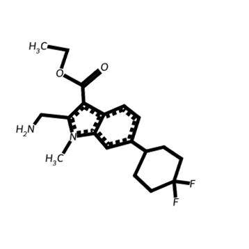 CCOC(=O)c1c(CN)n(C)c2cc(C3CCC(F)(F)CC3)ccc12